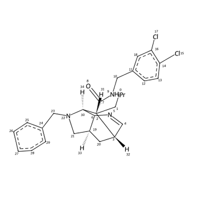 CC(C)C[C@@H]1[C@@H]2C=N[C@@]3(C(=O)NCc4ccc(Cl)c(Cl)c4)[C@@H](C2)CN(Cc2ccccc2)[C@@H]13